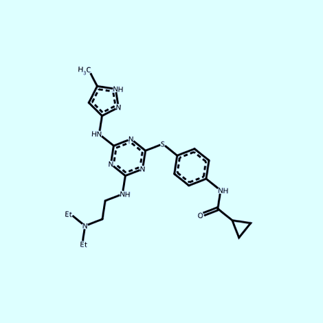 CCN(CC)CCNc1nc(Nc2cc(C)[nH]n2)nc(Sc2ccc(NC(=O)C3CC3)cc2)n1